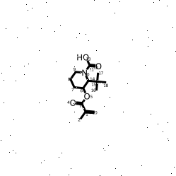 C=C(C)C(=O)OC1CCCN(C(=O)O)C1C(C)(C)C